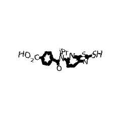 CC(C)N(C(=O)c1ccc(C(=O)O)cc1)c1ccc2nc(S)sc2n1